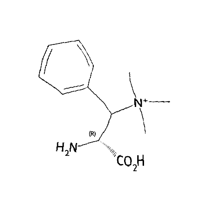 C[N+](C)(C)C(c1ccccc1)[C@@H](N)C(=O)O